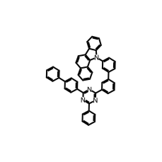 c1ccc(-c2ccc(-c3nc(-c4ccccc4)nc(-c4cccc(-c5cccc(-n6c7ccccc7c7ccc8ccccc8c76)c5)c4)n3)cc2)cc1